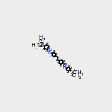 CCN(CC)c1ccc(/N=N/c2ccc(/C=C/c3ccc(/N=N/c4ccc(N(CC)CC)cc4)cc3)cc2)cc1